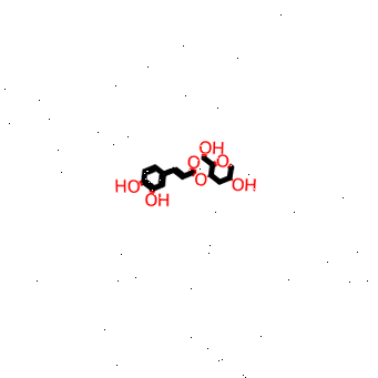 O=C(/C=C/c1ccc(O)c(O)c1)O[C@H]1C[C@@H](O)COC1CO